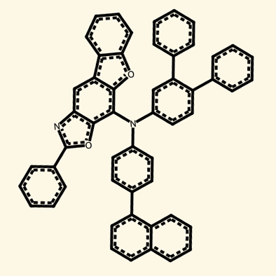 c1ccc(-c2nc3cc4c(oc5ccccc54)c(N(c4ccc(-c5cccc6ccccc56)cc4)c4ccc(-c5ccccc5)c(-c5ccccc5)c4)c3o2)cc1